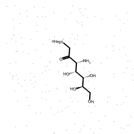 CCCCCCCCC(=O)[C@H](N)[C@@H](O)[C@H](O)[C@H](O)CO